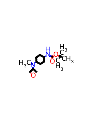 CN(C1COC1)[C@H]1CC[C@H](NC(=O)OC(C)(C)C)CC1